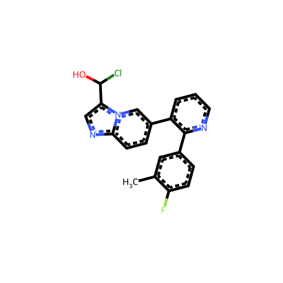 Cc1cc(-c2ncccc2-c2ccc3ncc(C(O)Cl)n3c2)ccc1F